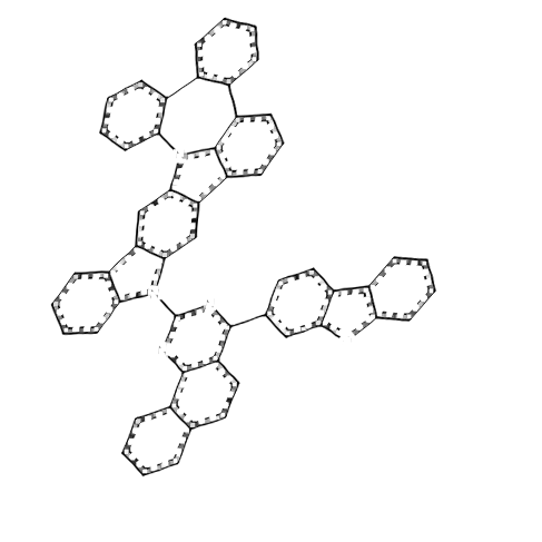 c1ccc2c(c1)-c1ccccc1-n1c3cc4c5ccccc5n(-c5nc(-c6ccc7c(c6)oc6ccccc67)c6ccc7ccccc7c6n5)c4cc3c3cccc-2c31